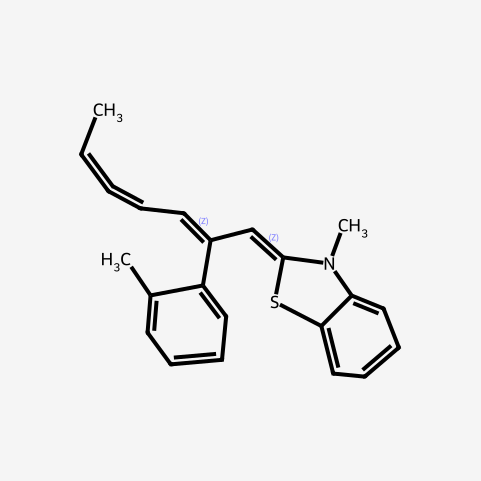 CC=C=C/C=C(/C=C1\Sc2ccccc2N1C)c1ccccc1C